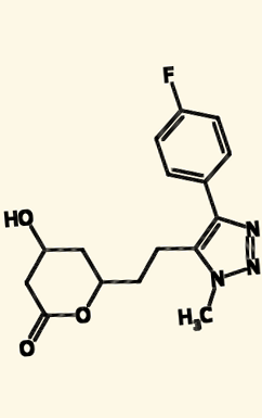 Cn1nnc(-c2ccc(F)cc2)c1CCC1CC(O)CC(=O)O1